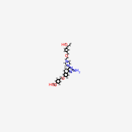 CCC(O)C1=CC=C(COCCN2CCN(c3nc(N)nc4c3CCc3cc(OCc5ccc(OO)cc5)ccc3-4)CC2)C1